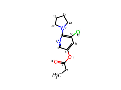 CCC(=O)Oc1cnc(N2CCCC2)c(Cl)c1